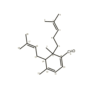 CC(C)=CCCC1(C)C(C=O)=CC=C(C)C1CC=C(C)C